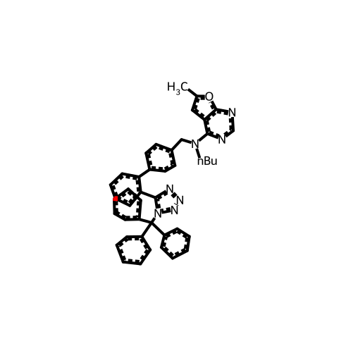 CCCCN(Cc1ccc(-c2ccccc2-c2nnnn2C(c2ccccc2)(c2ccccc2)c2ccccc2)cc1)c1ncnc2oc(C)cc12